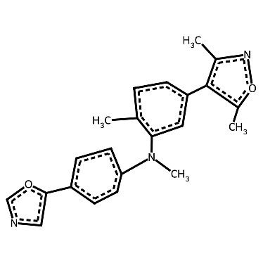 Cc1ccc(-c2c(C)noc2C)cc1N(C)c1ccc(-c2cnco2)cc1